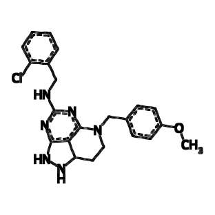 COc1ccc(CN2CCC3NNc4nc(NCc5ccccc5Cl)nc2c43)cc1